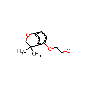 CC1(C)COc2ccc(OCC[O])c1c2